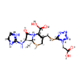 O=C(O)Cn1nnnc1SCC1=C(C(=O)O)N2C(=O)C(Nc3ncc[nH]3)[C@@H]2SC1